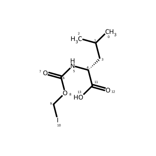 CC(C)C[C@@H](NC(=O)OCI)C(=O)O